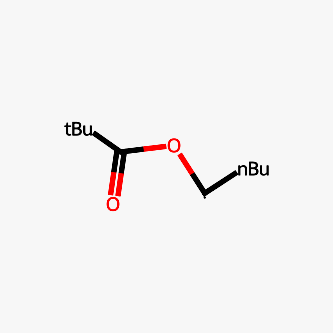 CCCC[CH]OC(=O)C(C)(C)C